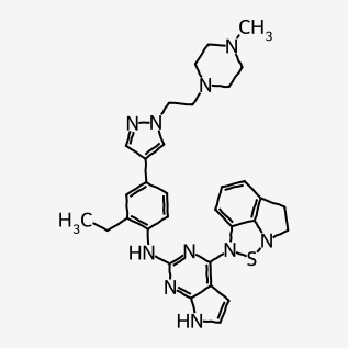 CCc1cc(-c2cnn(CCN3CCN(C)CC3)c2)ccc1Nc1nc(N2SN3CCc4cccc2c43)c2cc[nH]c2n1